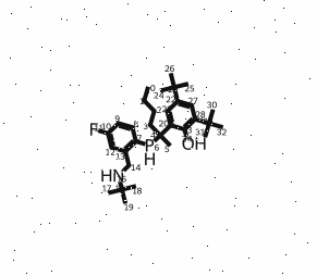 CCCCC(C)(Pc1ccc(F)cc1CNC(C)(C)C)c1cc(C(C)(C)C)cc(C(C)(C)C)c1O